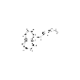 CCSCc1cccc2ccccc12